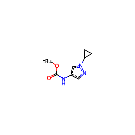 CC(C)(C)OC(=O)Nc1cnn(C2CC2)c1